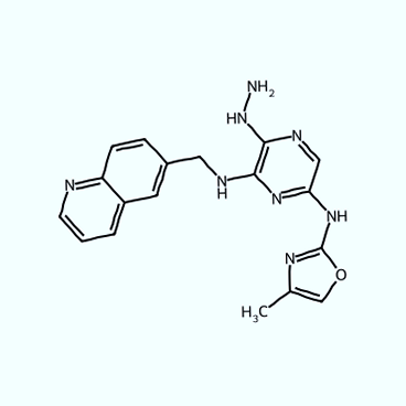 Cc1coc(Nc2cnc(NN)c(NCc3ccc4ncccc4c3)n2)n1